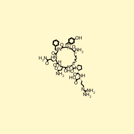 NC(=O)CC[C@H]1NC(=O)[C@@H](Cc2ccccc2)NC(=O)[C@@H](Cc2ccc(O)cc2)NC(=O)C(N)CSSC[C@@H](C(=O)N2CCC[C@@H]2C(=O)N[C@H](CCCN=C(N)N)C(=O)O)NC(=O)C(CC(N)=O)NC1=O